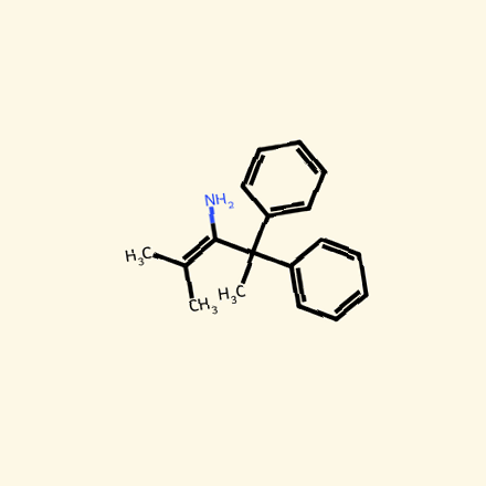 CC(C)=C(N)C(C)(c1ccccc1)c1ccccc1